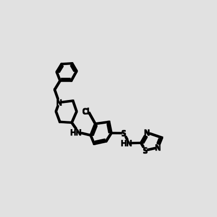 Clc1cc(SNc2ncns2)ccc1NC1CCN(Cc2ccccc2)CC1